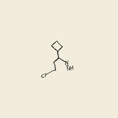 N=NC(CCCl)C1CCC1